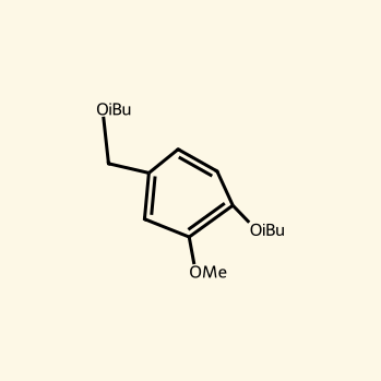 COc1cc(COCC(C)C)ccc1OCC(C)C